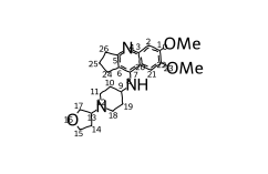 COc1cc2nc3c(c(NC4CCN(C5CCOC5)CC4)c2cc1OC)CCC3